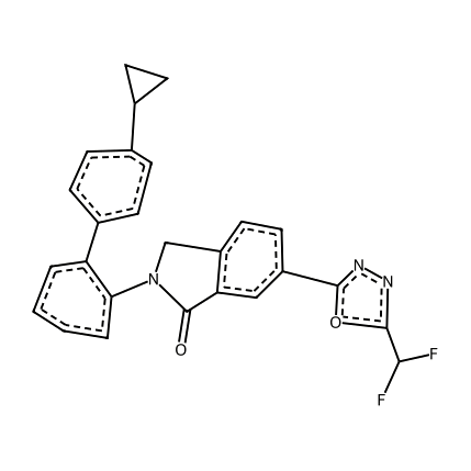 O=C1c2cc(-c3nnc(C(F)F)o3)ccc2CN1c1ccccc1-c1ccc(C2CC2)cc1